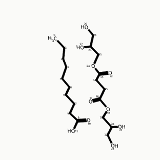 CCCCCCCCCC(=O)O.O=C(CCC(=O)OCC(O)CO)OCC(O)CO